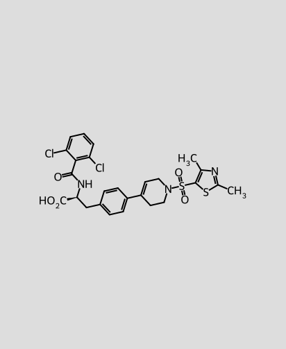 Cc1nc(C)c(S(=O)(=O)N2CC=C(c3ccc(C[C@H](NC(=O)c4c(Cl)cccc4Cl)C(=O)O)cc3)CC2)s1